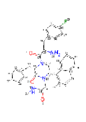 CNC(=O)C(Cc1ccc2ccccc2c1)N1CCN(C(=O)C(N)Cc2ccc(F)cc2)[C@@H](Cc2ccccc2)C1=O